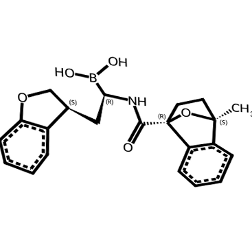 C[C@@]12CC[C@@](C(=O)N[C@@H](C[C@@H]3COc4ccccc43)B(O)O)(O1)c1ccccc12